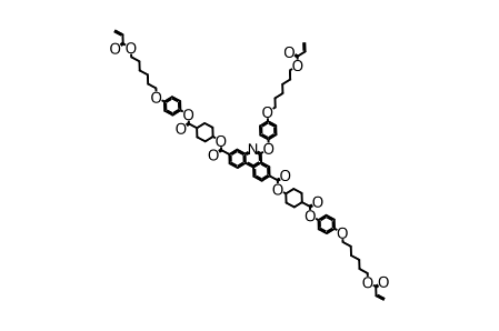 C=CC(=O)OCCCCCCOc1ccc(OC(=O)C2CCC(OC(=O)c3ccc4c(c3)nc(Oc3ccc(OCCCCCCOC(=O)C=C)cc3)c3cc(C(=O)OC5CCC(C(=O)Oc6ccc(OCCCCCCOC(=O)C=C)cc6)CC5)ccc34)CC2)cc1